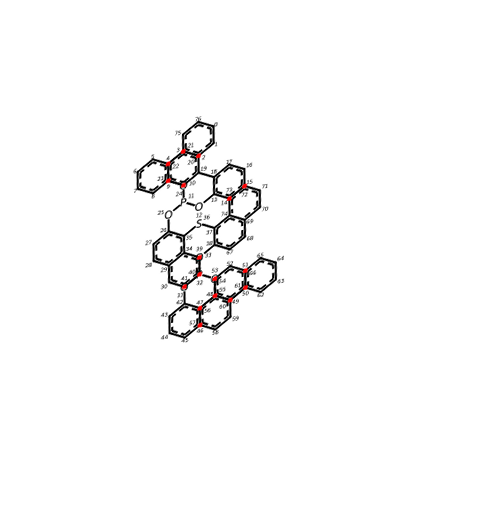 c1ccc(-c2ccccc2OP(Oc2ccccc2-c2ccccc2)Oc2ccc3ccccc3c2Sc2c(OP(Oc3ccccc3-c3ccccc3)Oc3ccccc3-c3ccccc3)ccc3ccccc23)cc1